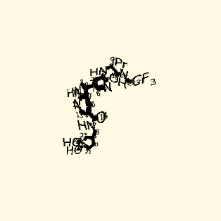 CC(C)[C@@H](Nc1cncc(-c2c[nH]c3ncc(C(=O)NCC4CCS(O)(O)C4)cc23)c1)C(=O)NCC(F)(F)F